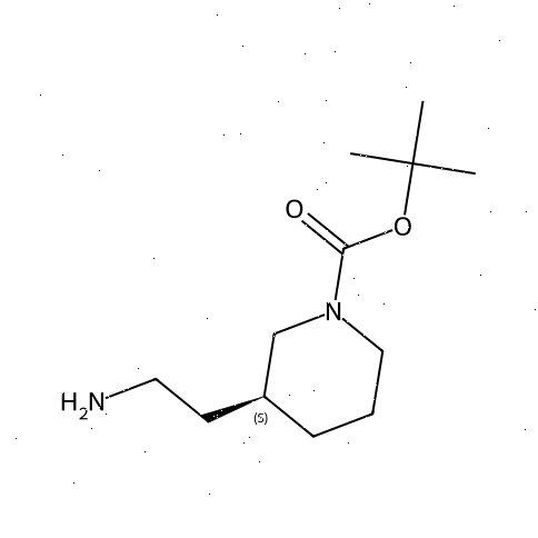 CC(C)(C)OC(=O)N1CCC[C@@H](CCN)C1